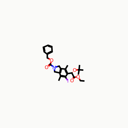 CCOC(=O)[C@@H](OC(C)(C)C)c1c(C)c2c(c(C)c1I)CN(C(=O)OCc1ccccc1)C2